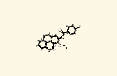 Cc1c(OC(=O)c2ccc(F)cc2)cc2ccc3cccc4ccc1c2c34